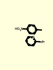 CCCc1ccccn1.Cc1ccc(S(=O)(=O)O)cc1